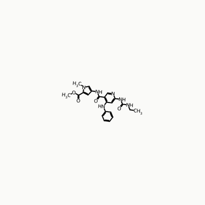 CCNC(=O)Nc1cc(Nc2ccccc2)c(C(=O)Nc2cc(C(=O)OC)n(C)c2)cn1